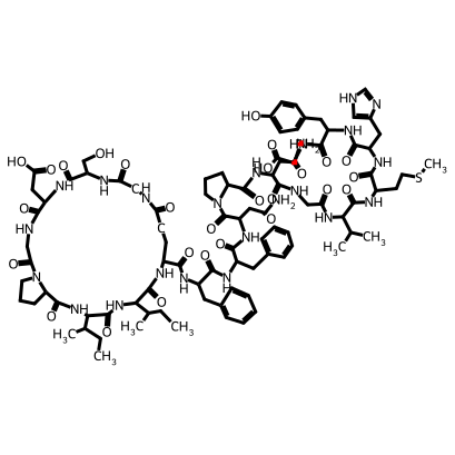 CCC(C)C1NC(=O)C(C(C)CC)NC(=O)C2CCCN2C(=O)CNC(=O)C(CC(=O)O)NC(=O)C(CO)NC(=O)CNC(=O)CCC(C(=O)NC(Cc2ccccc2)C(=O)NC(Cc2ccccc2)C(=O)NC(CC(N)=O)C(=O)N2CCCC2C(=O)NC(CC(N)=O)C(=O)NCC(=O)NC(C(=O)NC(CCSC)C(=O)NC(Cc2c[nH]cn2)C(=O)NC(Cc2ccc(O)cc2)C(=O)NCC(=O)O)C(C)C)NC1=O